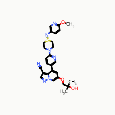 COc1ccc(N=S2CCN(c3ccc(-c4cc(OCC(C)(C)O)cn5ncc(C#N)c45)cn3)CC2)cn1